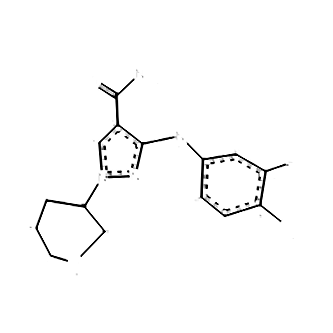 NC(=O)c1cn(C2CCCOC2)nc1Nc1ccc(Cl)c(F)c1